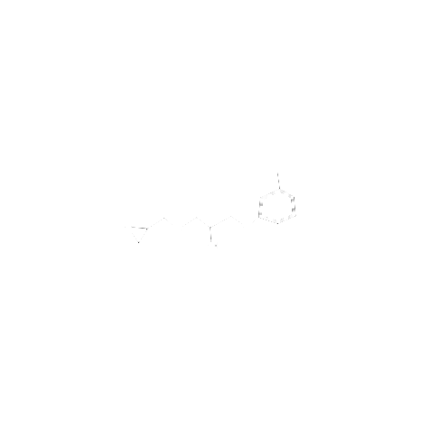 Cc1cccc(OCC(O)COCC2CO2)c1